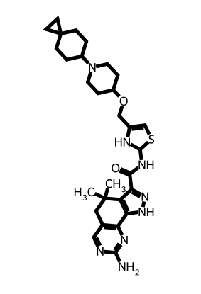 CC1(C)Cc2cnc(N)nc2-c2[nH]nc(C(=O)NC3NC(COC4CCN(C5CCC6(CC5)CC6)CC4)=CS3)c21